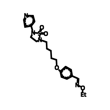 CCO/N=C/c1ccc(OCCCCCN2CCN(c3ccncc3)S2(=O)=O)cc1